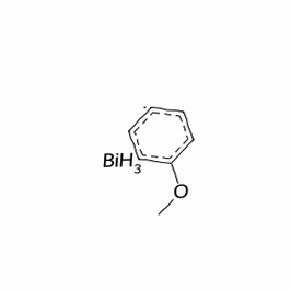 COc1cc[c]cc1.[BiH3]